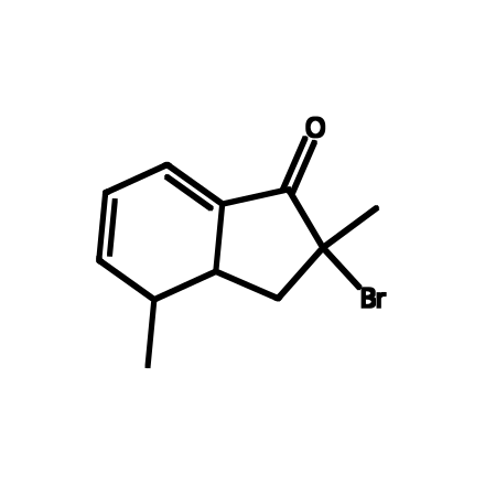 CC1C=CC=C2C(=O)C(C)(Br)CC21